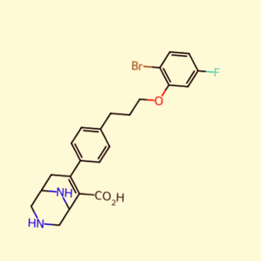 O=C(O)C1=C(c2ccc(CCCOc3cc(F)ccc3Br)cc2)CC2CNCC1N2